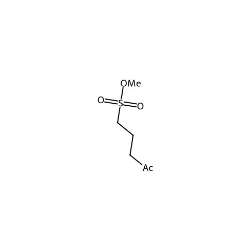 COS(=O)(=O)CCCC(C)=O